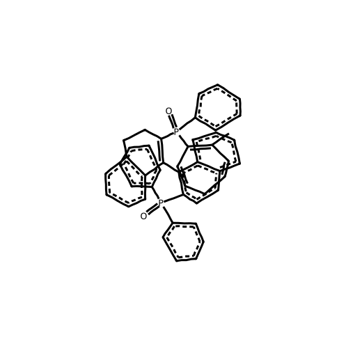 CC1=C(P(=O)(C2=C(c3c(P(=O)(c4ccccc4)c4ccccc4)ccc4ccccc34)c3ccccc3CC2)c2ccccc2)C=CCC=C1